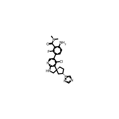 CN(C)C(=O)c1c(N)ccc(-c2cnc3c(c2Cl)[C@@]2(CC[C@H](n4cncn4)C2)CN3)c1F